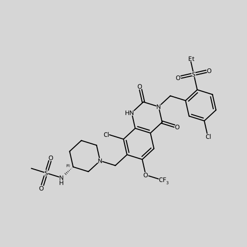 CCS(=O)(=O)c1ccc(Cl)cc1Cn1c(=O)[nH]c2c(Cl)c(CN3CCC[C@@H](NS(C)(=O)=O)C3)c(OC(F)(F)F)cc2c1=O